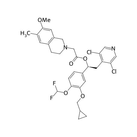 COc1cc2c(cc1C)CCN(CC(=O)O[C@@H](Cc1c(Cl)cncc1Cl)c1ccc(OC(F)F)c(OCC3CC3)c1)C2